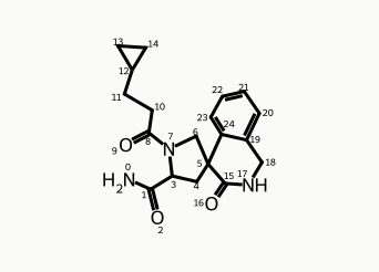 NC(=O)C1CC2(CN1C(=O)CCC1CC1)C(=O)NCc1ccccc12